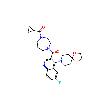 O=C(c1cnc2ccc(F)cc2c1N1CCC2(CC1)OCCO2)N1CCCN(C(=O)C2CC2)CC1